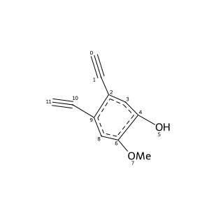 C#Cc1cc(O)c(OC)cc1C#C